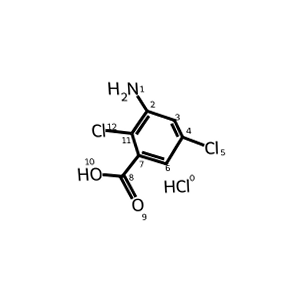 Cl.Nc1cc(Cl)cc(C(=O)O)c1Cl